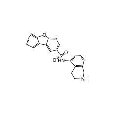 O=S(=O)(Nc1cccc2c1CCNC2)c1ccc2oc3ccccc3c2c1